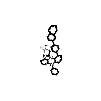 CCc1nc2cccc3c2n1-c1c(-c2ccc(-c4ccc5ccccc5c4)cc2)cccc1N3c1ccccc1